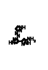 Nc1cc(-c2c[nH]nc2N=Nc2cc[nH]n2)n[nH]1